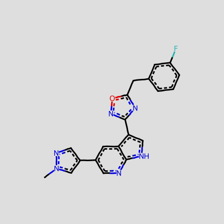 Cn1cc(-c2cnc3[nH]cc(-c4noc(Cc5cccc(F)c5)n4)c3c2)cn1